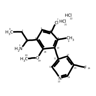 CCC(N)c1cc(Cl)c(C)c(-c2cncc(F)c2)c1OC.Cl.Cl